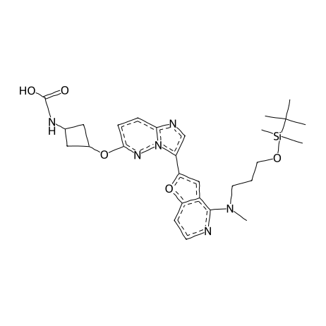 CN(CCCO[Si](C)(C)C(C)(C)C)c1nccc2oc(-c3cnc4ccc(OC5CC(NC(=O)O)C5)nn34)cc12